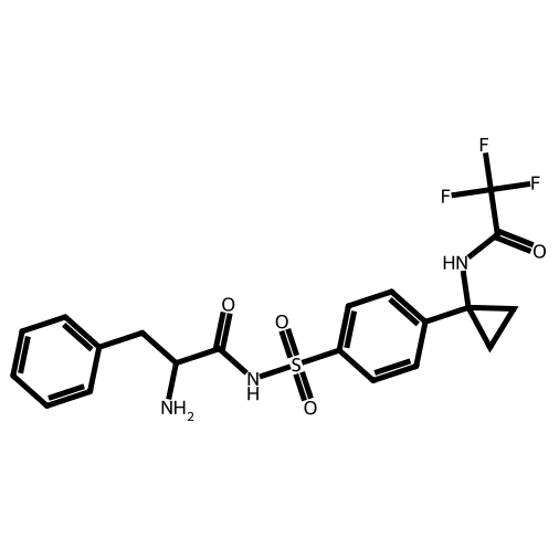 NC(Cc1ccccc1)C(=O)NS(=O)(=O)c1ccc(C2(NC(=O)C(F)(F)F)CC2)cc1